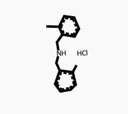 Cc1ccccc1CNCc1ccccc1C.Cl